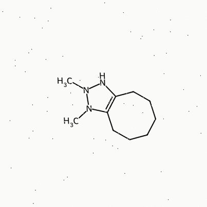 CN1NC2=C(CCCCCC2)N1C